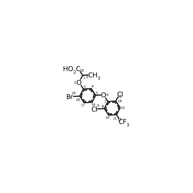 CC(Oc1cc(Oc2c(Cl)cc(C(F)(F)F)cc2Cl)ccc1Br)C(=O)O